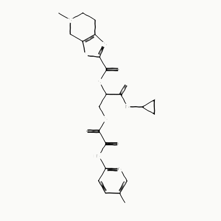 CN1CCc2nc(C(=O)NC(CNC(=O)C(=O)Nc3ccc(Cl)cn3)C(=O)NC3CC3)sc2C1.Cl